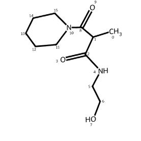 CC(C(=O)NCCO)C(=O)N1CC[CH]CC1